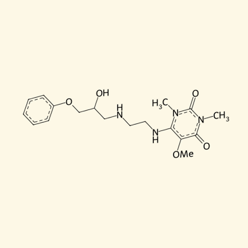 COc1c(NCCNCC(O)COc2ccccc2)n(C)c(=O)n(C)c1=O